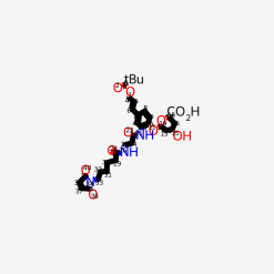 CC(C)(C)C(=O)OC/C=C/c1ccc(OC2CC(O)CC(C(=O)O)O2)c(NC(=O)CCNC(=O)CCCCCN2C(=O)C=CC2=O)c1